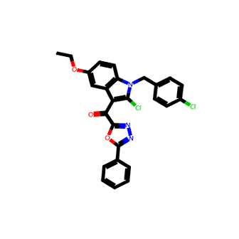 CCOc1ccc2c(c1)c(C(=O)c1nnc(-c3ccccc3)o1)c(Cl)n2Cc1ccc(Cl)cc1